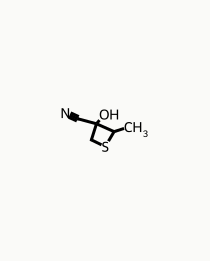 CC1SCC1(O)C#N